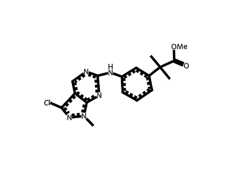 COC(=O)C(C)(C)c1cccc(Nc2ncc3c(Cl)nn(C)c3n2)c1